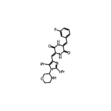 CCCc1nc(/C=c2\[nH]c(=O)/c(=C/c3cccc(F)c3)[nH]c2=O)c(C(C)C)n1C1COCCN1